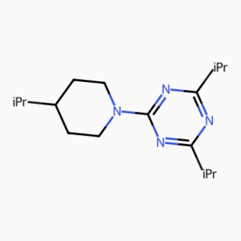 CC(C)c1nc(C(C)C)nc(N2CCC(C(C)C)CC2)n1